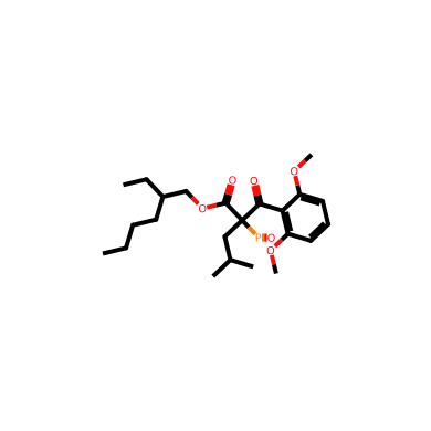 CCCCC(CC)COC(=O)C(CC(C)C)(P=O)C(=O)c1c(OC)cccc1OC